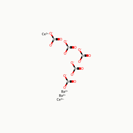 [Ba+2].[Ba+2].[Ce+3].[Ce+3].[O]=[Zr]([O-])[O-].[O]=[Zr]([O-])[O-].[O]=[Zr]([O-])[O-].[O]=[Zr]([O-])[O-].[O]=[Zr]([O-])[O-]